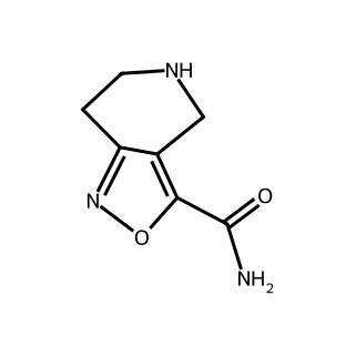 NC(=O)c1onc2c1CNCC2